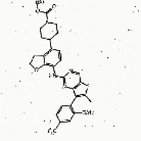 COc1cc(C(F)(F)F)ccc1-c1c(C)sc2cnc(Nc3ccc(C4CCN(C(=O)OC(C)(C)C)CC4)c4c3OCC4)nc12